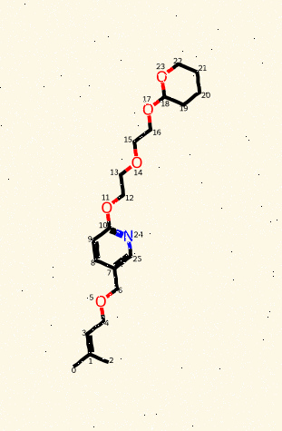 CC(C)=CCOCc1ccc(OCCOCCOC2CCCCO2)nc1